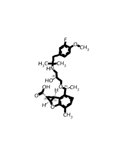 COc1ccc(CC(C)(C)NC[C@@H](O)CO[C@H](C)c2ccc(C)c3c2[C@H]2[C@@H](O3)[C@@H]2C(=O)O)cc1F